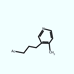 CC(=O)CCCc1cnccc1C